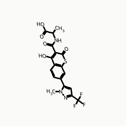 CC(NC(=O)c1c(O)c2ccc(-c3cc(C(F)(F)F)nn3C)cc2sc1=O)C(=O)O